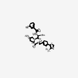 Cc1ncsc1-c1ccc(CNC(=O)[C@@H]2C[C@@H](O)CN2C(=O)C(NC(=O)c2cccc(C#N)c2)C(C)(C)C)cc1